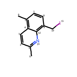 Cc1ccc2c(C)ccc(CI)c2n1